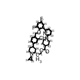 CCOC(=O)C1CCN(c2cccc(-c3cc(F)cc(F)c3OCc3ccc(C4CCN(C5CC5)CC4)cc3C)n2)CC1